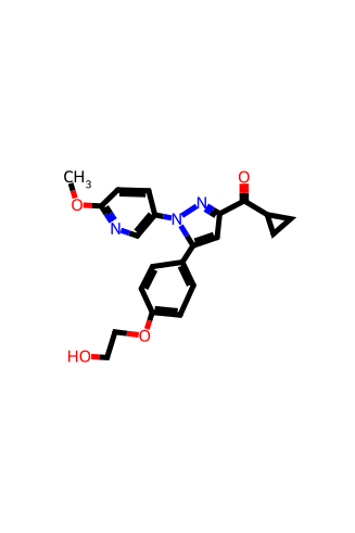 COc1ccc(-n2nc(C(=O)C3CC3)cc2-c2ccc(OCCO)cc2)cn1